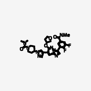 CNC(=O)c1cc(F)c(F)c(-c2cnc3cc(-c4cnn(C5CCN(C(=O)N(C)C)CC5)c4)c(OC4CCOC4)nn23)c1